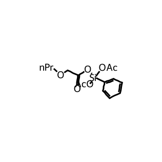 CCCOCC(=O)O[Si](OC(C)=O)(OC(C)=O)c1ccccc1